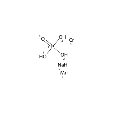 O=P(O)(O)O.[Cr].[Mn].[NaH]